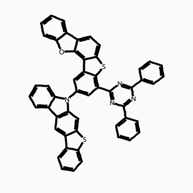 c1ccc(-c2nc(-c3ccccc3)nc(-c3cc(-n4c5ccccc5c5cc6c(cc54)sc4ccccc46)cc4c3sc3ccc5c6ccccc6oc5c34)n2)cc1